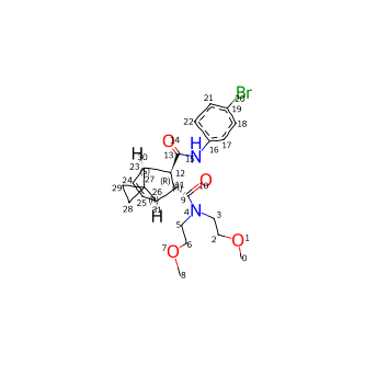 COCCN(CCOC)C(=O)[C@H]1[C@H](C(=O)Nc2ccc(Br)cc2)[C@@H]2C=C[C@H]1C21CC1